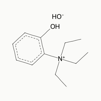 CC[N+](CC)(CC)c1ccccc1O.[OH-]